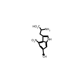 C#Cc1cc([N+](=O)[O-])c2c(CC(N)C(=O)O)c[nH]c2c1